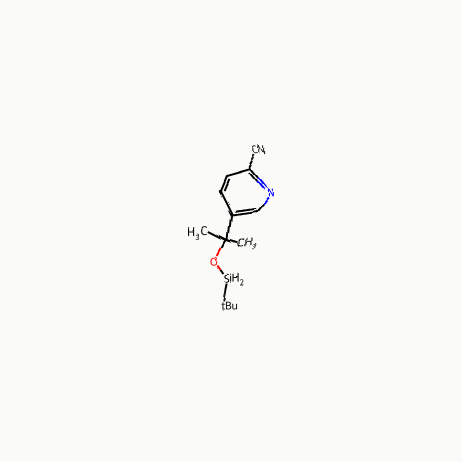 CC(C)(C)[SiH2]OC(C)(C)c1ccc(C#N)nc1